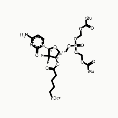 CCCCCCCCCCCCCCC(=O)O[C@@H]1[C@@H](COP(=O)(OCOC(=O)C(C)(C)C)OCOC(=O)C(C)(C)C)O[C@@H](n2ccc(N)nc2=O)C1(F)F